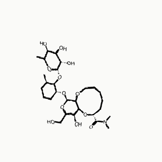 CC1O[C@@H](OC2[C@H](C)CCC[C@H]2O[C@@H]2OC(CO)[C@H](O)C3O[C@@H](C(=O)N(C)C)CCCCCOC32)[C@@H](O)C(O)[C@@H]1O